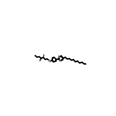 CCCCCCCCCCCc1cnc(-c2ccc(OCCC(F)C(F)CCC)cc2)nc1